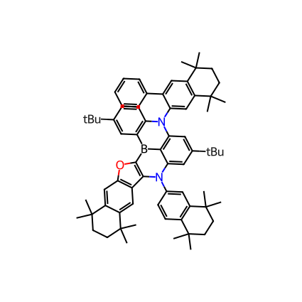 CC(C)(C)c1ccc2c(c1)B1c3oc4cc5c(cc4c3N(c3ccc4c(c3)C(C)(C)CCC4(C)C)c3cc(C(C)(C)C)cc(c31)N2c1cc2c(cc1-c1ccccc1)C(C)(C)CCC2(C)C)C(C)(C)CCC5(C)C